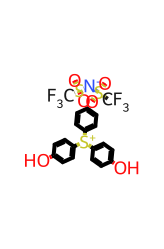 O=S(=O)([N-]S(=O)(=O)C(F)(F)F)C(F)(F)F.Oc1ccc([S+](c2ccccc2)c2ccc(O)cc2)cc1